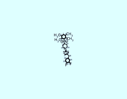 Cc1cc(C)c(C)c(S(=O)(=O)C2CCN(c3nc(Cc4ccc(F)c(F)c4)cs3)CC2)c1C